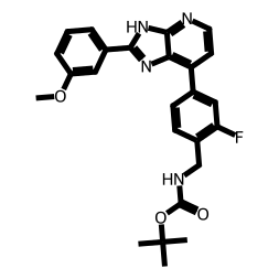 COc1cccc(-c2nc3c(-c4ccc(CNC(=O)OC(C)(C)C)c(F)c4)ccnc3[nH]2)c1